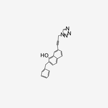 Oc1c(Cc2ccccc2)ccc2ccc(C#CCn3cnnn3)cc12